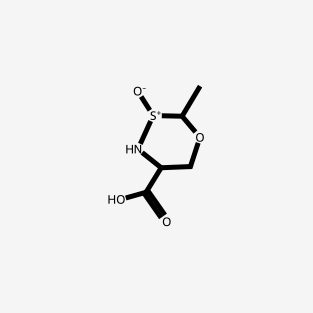 CC1OCC(C(=O)O)N[S+]1[O-]